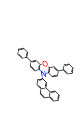 c1ccc(-c2ccc3c(c2)Oc2cc(-c4ccccc4)ccc2N3c2ccc3ccc4ccccc4c3c2)cc1